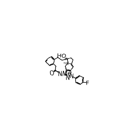 CNC(=O)Cc1ccccc1CC[C@]1(O)CCC2=Cc3c(cnn3-c3ccc(F)cc3)C[C@@]21C